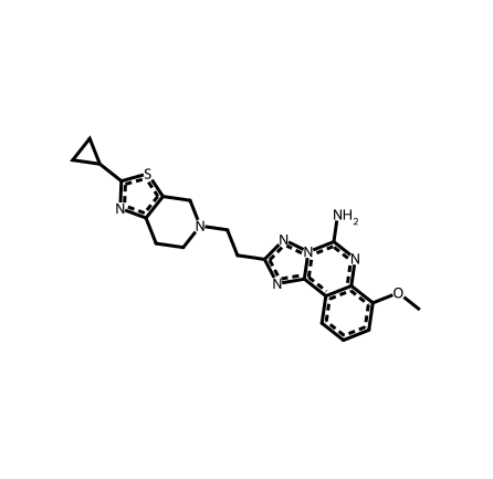 COc1cccc2c1nc(N)n1nc(CCN3CCc4nc(C5CC5)sc4C3)nc21